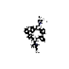 C=C/C=C(\C=C/C)c1nc(C2=CCCC=C2)nc(-c2ccc(-c3c(Cl)cccc3-c3ccc(-c4nc(/C(C=C)=C/CCC)nc(-c5ccccc5)n4)cc3)cc2)n1